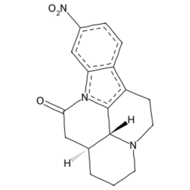 O=C1C[C@@H]2CCCN3CCc4c(n1c1cc([N+](=O)[O-])ccc41)[C@@H]23